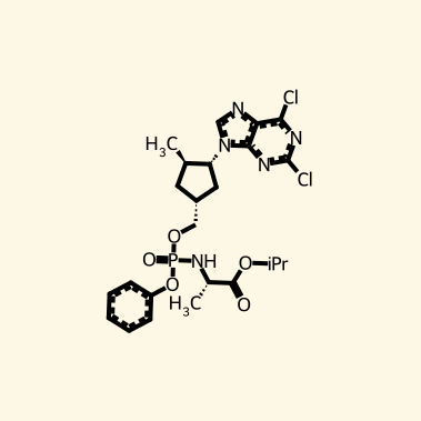 CC(C)OC(=O)[C@H](C)NP(=O)(OC[C@@H]1C[C@@H](C)[C@H](n2cnc3c(Cl)nc(Cl)nc32)C1)Oc1ccccc1